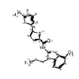 Cc1cccc2c1nc(NC(=O)c1ccc(-c3ccnc(N)n3)s1)n2CCN